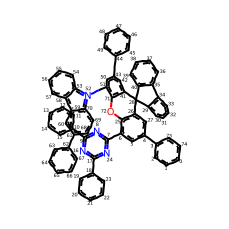 c1ccc(-c2cc(-c3nc(-c4ccccc4)nc(-c4ccccc4)n3)c3c(c2)C2(c4ccccc4-c4ccccc42)c2cc(-c4ccccc4)cc(-n4c5ccccc5c5cc(-c6ccccc6)ccc54)c2O3)cc1